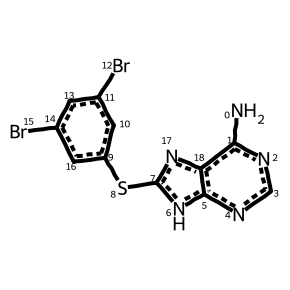 Nc1ncnc2[nH]c(Sc3cc(Br)cc(Br)c3)nc12